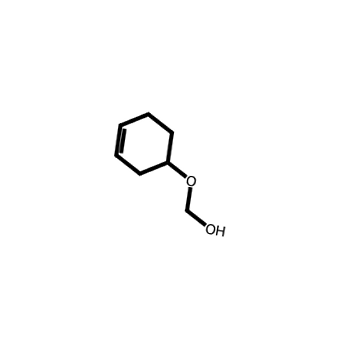 OCOC1CC=CCC1